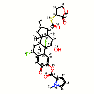 C[C@@H]1C[C@H]2[C@@H]3C[C@H](F)C4=CC(=O)C(OC(=O)c5cccn5C)=C[C@]4(C)[C@@]3(F)[C@@H](O)C[C@]2(C)[C@H]1C(=O)S[C@H]1CCOC1=O